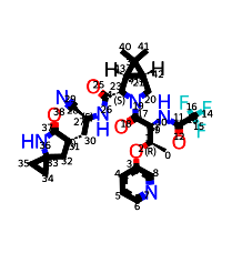 C[C@@H](Oc1cccnc1)[C@H](NC(=O)C(F)(F)F)C(=O)N1C[C@H]2[C@@H]([C@H]1C(=O)N[C@H](C#N)C[C@@H]1CC3(CC3)NC1=O)C2(C)C